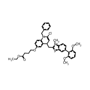 CCOC(=O)CCCOc1ccc2c(c1)C(Cc1sc3cc(-c4c(OC)cccc4OC)ccc3[n+]1C)C=C(Cl)N2Cc1ccccc1